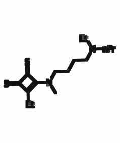 CCCN(CC)CCCCN(C)c1c(CC)c(=S)c1=S